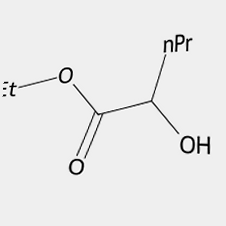 CCCC(O)C(=O)OCC